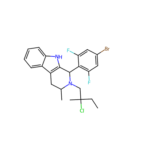 CCC(C)(Cl)CN1C(C)Cc2c([nH]c3ccccc23)C1c1c(F)cc(Br)cc1F